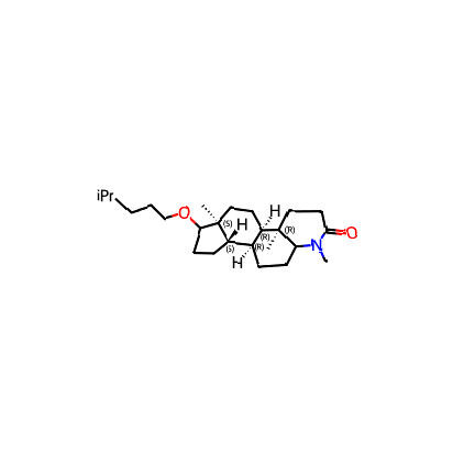 CC(C)CCCOC1CC[C@H]2[C@@H]3CCC4N(C)C(=O)CC[C@]4(C)[C@@H]3CC[C@]12C